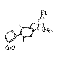 CCOCC1(COCC)Cc2c(cc(C)c(-c3cccc(C=O)c3)c2C)O1